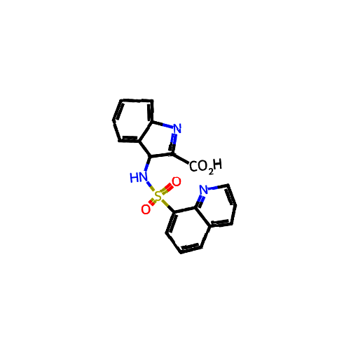 O=C(O)C1=Nc2ccccc2C1NS(=O)(=O)c1cccc2cccnc12